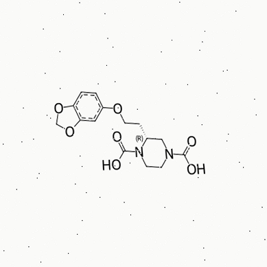 O=C(O)N1CCN(C(=O)O)[C@H](CCOc2ccc3c(c2)OCO3)C1